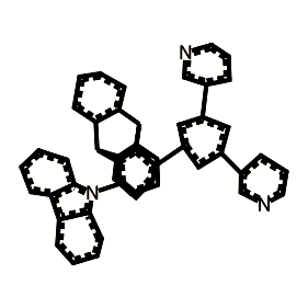 c1cncc(-c2cc(-c3cccnc3)cc(-c3cccc4c3C3c5ccccc5C4c4c3cccc4-n3c4ccccc4c4ccccc43)c2)c1